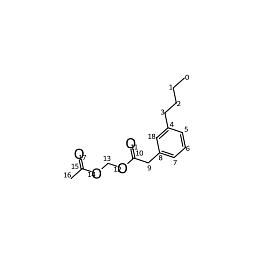 CCCCc1cccc(CC(=O)OCOC(C)=O)c1